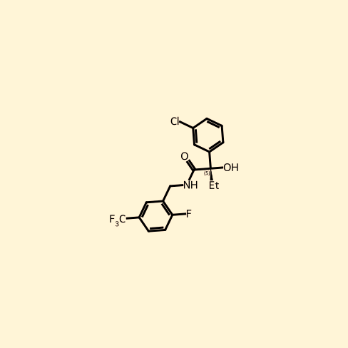 CC[C@@](O)(C(=O)NCc1cc(C(F)(F)F)ccc1F)c1cccc(Cl)c1